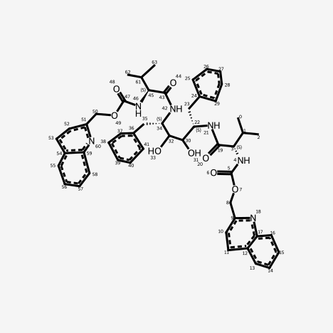 CC(C)[C@H](NC(=O)OCc1ccc2ccccc2n1)C(=O)N[C@@H](Cc1ccccc1)C(O)C(O)[C@H](Cc1ccccc1)NC(=O)[C@@H](NC(=O)OCc1ccc2ccccc2n1)C(C)C